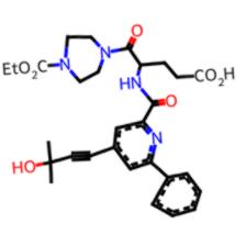 CCOC(=O)N1CCN(C(=O)C(CCC(=O)O)NC(=O)c2cc(C#CC(C)(C)O)cc(-c3ccccc3)n2)CC1